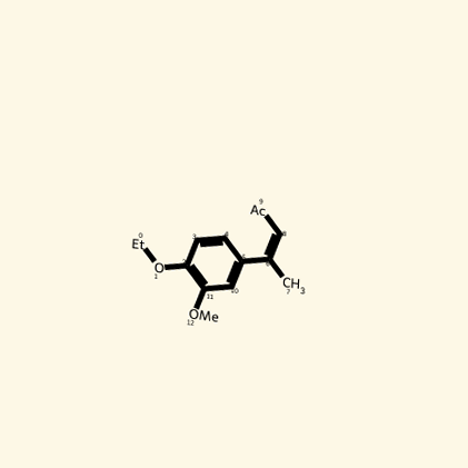 CCOc1ccc(/C(C)=C\C(C)=O)cc1OC